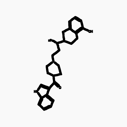 CCCN(CCN1CCN(C(=O)c2c[nH]c3ccccc23)CC1)C1CCc2c(O)cccc2C1